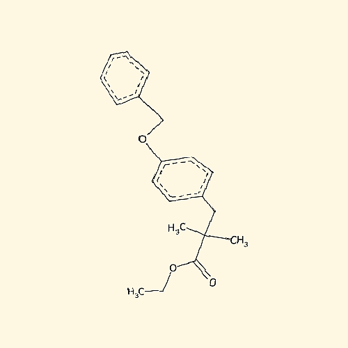 CCOC(=O)C(C)(C)Cc1ccc(OCc2ccccc2)cc1